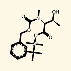 C[C@H](O)[C@H](C(=O)O[Si](C)(C)C(C)(C)C)N(C)C(=O)OCc1ccccc1